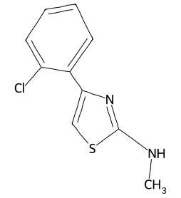 CNc1nc(-c2ccccc2Cl)cs1